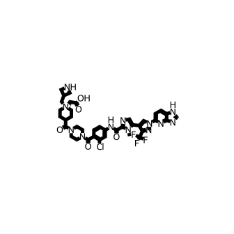 Cn1c(-c2cn(-c3ccc4[nH]cnc4n3)nc2C(F)(F)F)cnc1C(=O)Nc1ccc(C(=O)N2CCN(C(=O)C3CC[N+](CC(=O)O)(CC4CNC4)CC3)CC2)c(Cl)c1